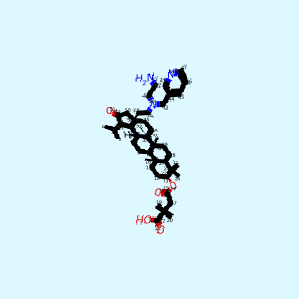 CC(C)C1=C2[C@H]3CCC4[C@@]5(C)CC[C@H](OC(=O)CC(C)(C)C(=O)O)C(C)(C)C5CC[C@@]4(C)[C@]3(C)CC[C@@]2(CCN(CCN)Cc2cccnc2)CC1=O